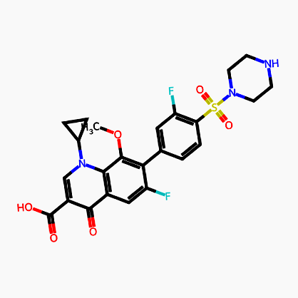 COc1c(-c2ccc(S(=O)(=O)N3CCNCC3)c(F)c2)c(F)cc2c(=O)c(C(=O)O)cn(C3CC3)c12